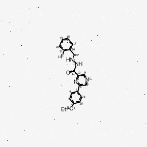 CCOc1ccc(-c2cncc(C(=O)NNCc3ccccc3F)n2)cc1